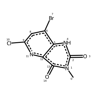 Cn1c(=O)[nH]c2c(Br)cc(Cl)nc2c1=O